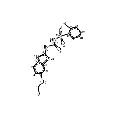 CCOc1ccc2nc(NC(=O)NS(=O)(=O)c3ccccc3C)sc2c1